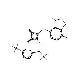 CC(C)(C)[C@@H](Nc1c(Nc2ccc(Cl)c3c2C(O)NC3)c(=O)c1=O)c1ccc(C(F)(F)F)o1